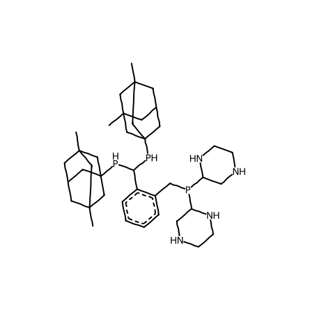 CC12CC3CC(C)(C1)CC(PC(PC14CC5CC(C)(CC(C)(C5)C1)C4)c1ccccc1CP(C1CNCCN1)C1CNCCN1)(C3)C2